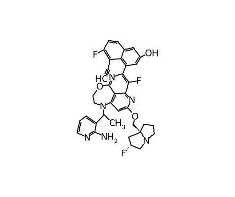 C#Cc1c(F)ccc2cc(O)cc(-c3nc4c5c(cc(OC[C@@]67CCCN6C[C@H](F)C7)nc5c3F)N(C(C)c3cccnc3N)CCO4)c12